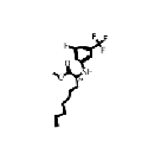 C=CCCCCC[C@H](Nc1cc(F)cc(C(F)(F)F)c1)C(=O)OC